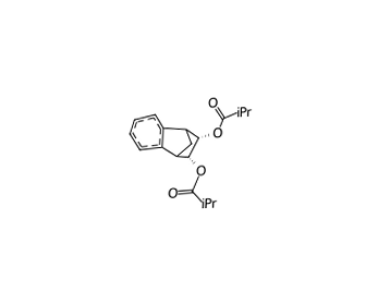 CC(C)C(=O)O[C@@H]1C2CC(c3ccccc32)[C@@H]1OC(=O)C(C)C